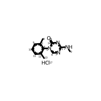 CNc1ncn(-c2c(C)cccc2C)c(=O)n1.Cl